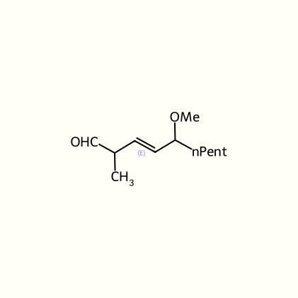 CCCCCC(/C=C/C(C)C=O)OC